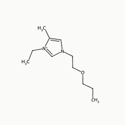 CCCOCCn1cc(C)[n+](CC)c1